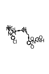 Cc1c(C#Cc2cnn(CCCC#Cc3cccc(C=O)c3C(=O)N(C)C3CCC(=O)NC3)c2)sc2c1C(c1ccc(Cl)cc1)=NCc1nnc(C)n1-2